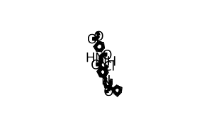 COC(=O)[C@H]1CC[C@H](C(=O)NNC(=O)c2ccc(N3CCC(OC)(C4CCCCC4)CC3)cc2Cl)CC1